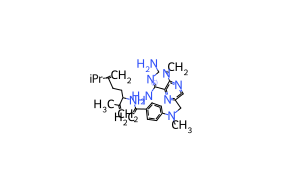 C=Nc1ncc(CN(C)c2ccc(C(=C)NC(CCC(=C)C(C)C)C(=C)C)cc2)nc1/C(N)=N\CN